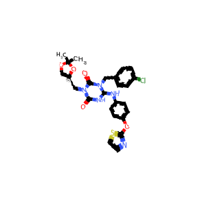 CC1(C)OC[C@H](CN2C(=O)NC(Nc3ccc(Oc4nccs4)cc3)N(Cc3ccc(Cl)cc3)C2=O)O1